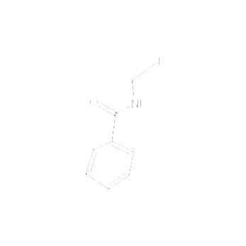 O=C(NCI)c1ccccc1